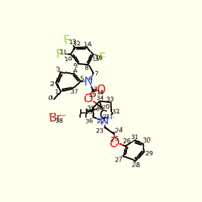 Cc1cccc(N(Cc2cc(F)c(F)cc2F)C(=O)O[C@H]2C[N+]3(CCOc4ccccc4)CCC2CC3)c1.[Br-]